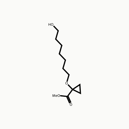 COC(=O)C1(OCCCCCCCO)CC1